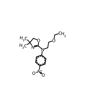 CCOCCN(C1=NC(C)(C)CO1)c1ccc([N+](=O)[O-])cc1